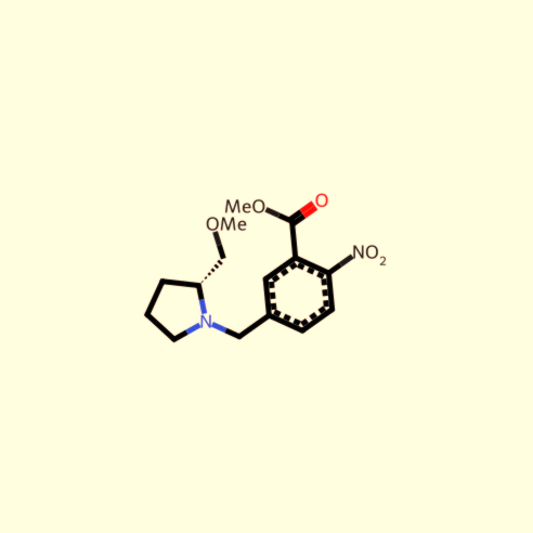 COC[C@H]1CCCN1Cc1ccc([N+](=O)[O-])c(C(=O)OC)c1